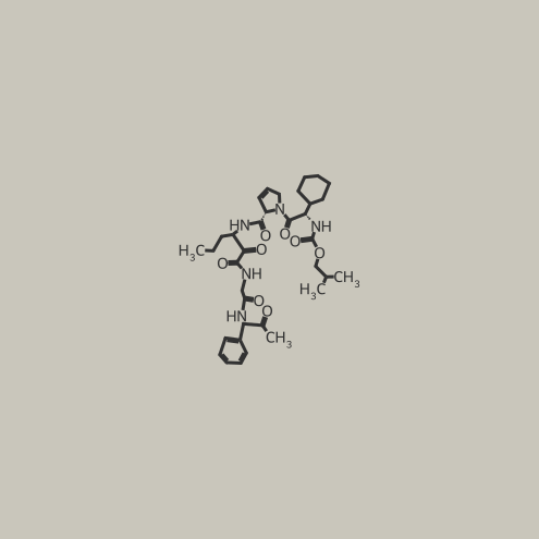 CCCC(NC(=O)[C@@H]1C=CCN1C(=O)[C@@H](NC(=O)OCC(C)C)C1CCCCC1)C(=O)C(=O)NCC(=O)N[C@H](C(C)=O)c1ccccc1